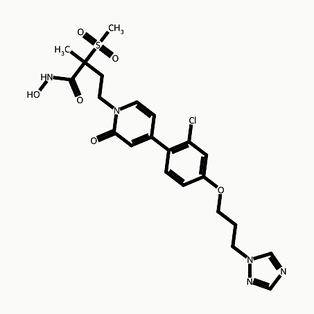 CC(CCn1ccc(-c2ccc(OCCCn3cncn3)cc2Cl)cc1=O)(C(=O)NO)S(C)(=O)=O